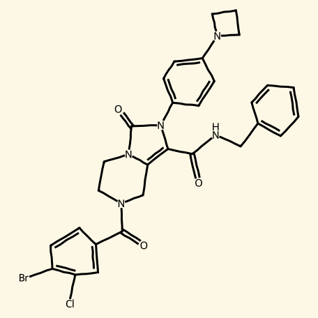 O=C(NCc1ccccc1)c1c2n(c(=O)n1-c1ccc(N3CCC3)cc1)CCN(C(=O)c1ccc(Br)c(Cl)c1)C2